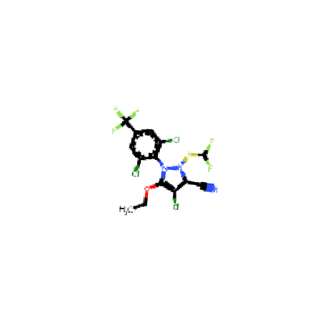 CCOC1=C(Cl)C(C#N)N(SC(F)F)N1c1c(Cl)cc(C(F)(F)F)cc1Cl